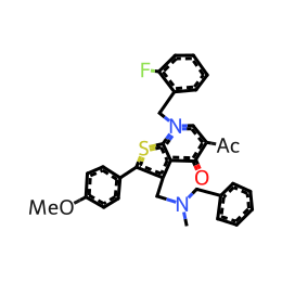 COc1ccc(-c2sc3c(c2CN(C)Cc2ccccc2)c(=O)c(C(C)=O)cn3Cc2ccccc2F)cc1